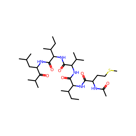 CCC(C)C(NC(=O)C(CCSC)NC(C)=O)C(=O)NC(C(=O)NC(C(=O)NC(CC(C)C)C(=O)C(C)C)C(C)CC)C(C)C